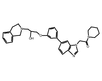 O=C(Cn1cnc2ccc(-c3cccc(OCC(O)CN4CCc5ccccc5C4)c3)cc21)N1CCCCC1